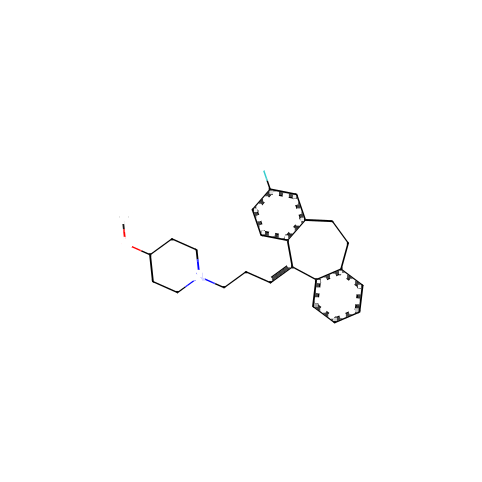 O=C(O)OC1CCN(CCC=C2c3ccccc3CCc3cc(F)ccc32)CC1